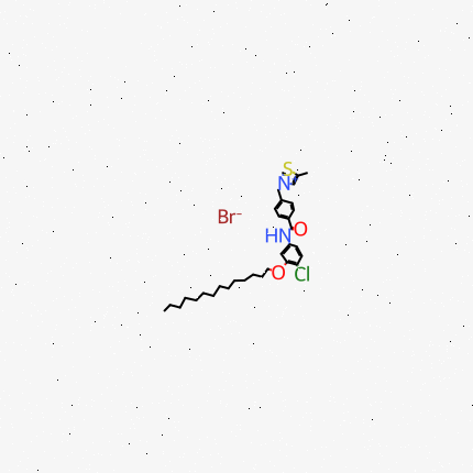 CCCCCCCCCCCCCCOc1cc(NC(=O)c2ccc(C[n+]3csc(C)c3)cc2)ccc1Cl.[Br-]